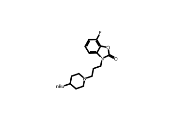 CCCCC1CCN(CCCn2c(=O)oc3c(F)cccc32)CC1